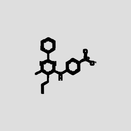 C=CCc1c(C)nc(-c2ccccc2)nc1Nc1ccc([N+](=O)[O-])cc1